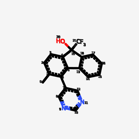 Cc1ccc2c(c1-c1cncnc1)-c1ccccc1C2(O)C(F)(F)F